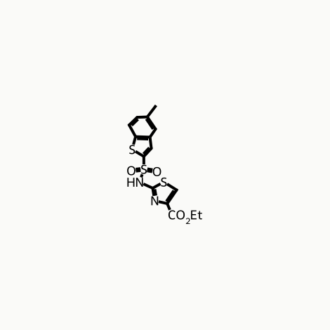 CCOC(=O)c1csc(NS(=O)(=O)c2cc3cc(C)ccc3s2)n1